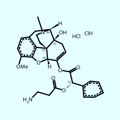 COc1ccc2c3c1O[C@H]1C(OC(=O)[C@@H](OC(=O)CCN)c4ccccc4)=CC[C@@]4(O)[C@@H](C2)N(C)CC[C@]314.Cl.Cl